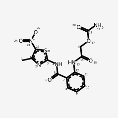 Cc1nc(NC(=O)c2ccccc2NC(=O)COC(N)=O)sc1[N+](=O)[O-]